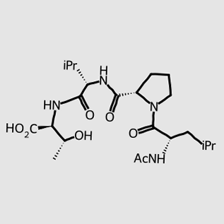 CC(=O)N[C@@H](CC(C)C)C(=O)N1CCC[C@H]1C(=O)N[C@H](C(=O)N[C@H](C(=O)O)[C@@H](C)O)C(C)C